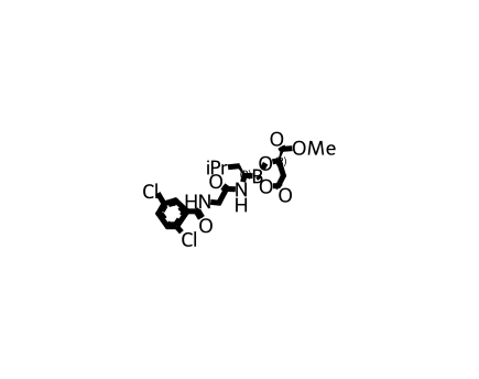 COC(=O)[C@H]1CC(=O)OB([C@H](CC(C)C)NC(=O)CNC(=O)c2cc(Cl)ccc2Cl)O1